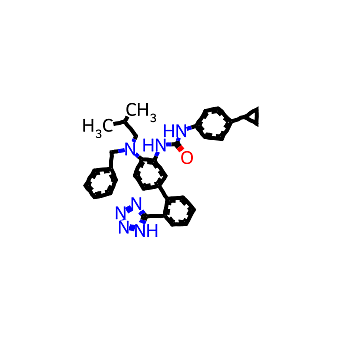 CC(C)CN(Cc1ccccc1)c1ccc(-c2ccccc2-c2nnn[nH]2)cc1NC(=O)Nc1ccc(C2CC2)cc1